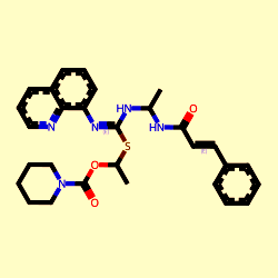 CC(NC(=O)/C=C/c1ccccc1)N/C(=N\c1cccc2cccnc12)SC(C)OC(=O)N1CCCCC1